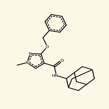 Cn1cc(C(=O)NC2C3CC4CC(C3)CC2C4)c(OCc2ccccc2)n1